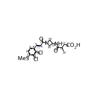 CSc1ccc(/C=C/C(=O)N2CC(NC(=O)C(C)CC(=O)O)C2)c(Cl)c1Cl